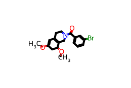 COC1=CC2=C(CN(C(=O)c3cccc(Br)c3)CC2)C(OC)C1